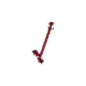 C=C1C[C@H]2C=Nc3cc(OCc4cc(/C=N/OCCOCCOCCOCCOCCOCCOCCOCCOCCOCCOCCOCCNC(=O)CCCCCN5C(=O)C=CC5=O)cc(COc5cc6c(cc5OC)C(=O)N5CC(=C)C[C@H]5C=N6)c4)c(OC)cc3C(=O)N2C1